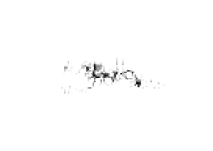 CCCCCCCCCCCCO[C@@H]1[C@H]2OC(C)(C)O[C@H]2O[C@@H]1[C@@H](C)OC(=O)Nc1ccc(CC(=O)OC)cc1